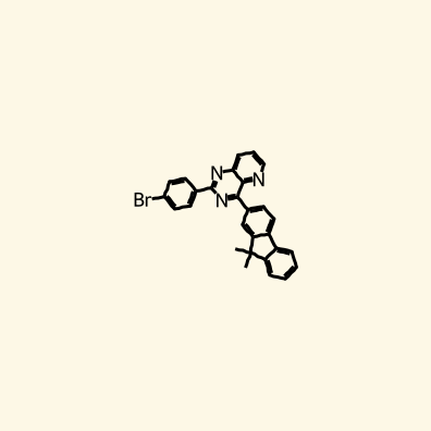 CC1(C)c2ccccc2-c2ccc(-c3nc(-c4ccc(Br)cc4)nc4cccnc34)cc21